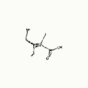 CC(CBr)=C(C)C(=O)O